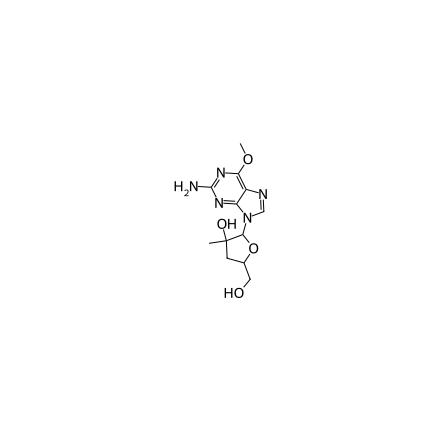 COc1nc(N)nc2c1ncn2C1OC(CO)CC1(C)O